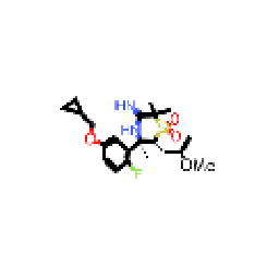 CO[C@H](C)C[C@@H]1[C@@](C)(c2cc(OCC3CC3)ccc2F)NC(=N)C(C)(C)S1(=O)=O